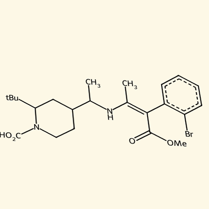 COC(=O)C(=C(C)NC(C)C1CCN(C(=O)O)C(C(C)(C)C)C1)c1ccccc1Br